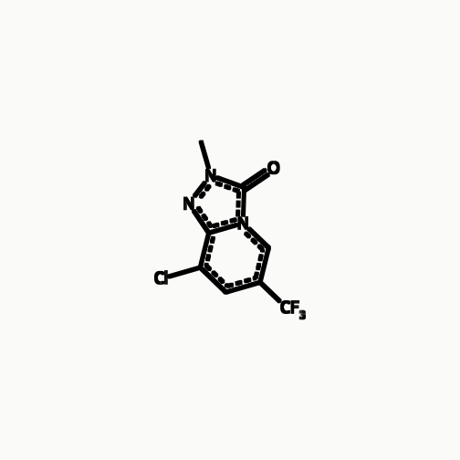 Cn1nc2c(Cl)cc(C(F)(F)F)cn2c1=O